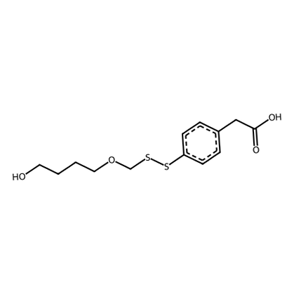 O=C(O)Cc1ccc(SSCOCCCCO)cc1